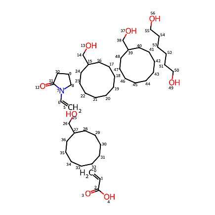 C=CC(=O)O.C=CN1CCCC1=O.OCC1CCCCCCCCC1.OCC1CCCCCCCCC1.OCC1CCCCCCCCC1.OCCCCCCO